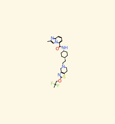 Cc1cn2c(C(=O)N[C@H]3CC[C@H](CCN4CCc5sc(OCC(C)(F)F)nc5C4)CC3)cccc2n1